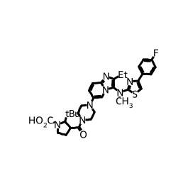 CCc1nc2ccc(N3CCN(C(=O)C4CCN(C(=O)O)C4C(C)(C)C)CC3)cn2c1N(C)c1nc(-c2ccc(F)cc2)cs1